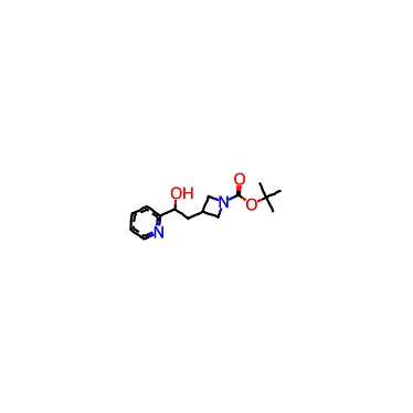 CC(C)(C)OC(=O)N1CC(CC(O)c2ccccn2)C1